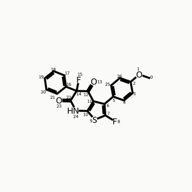 COc1ccc(-c2c(F)sc3c2C(=O)C(F)(c2ccccc2)C(=O)N3)cc1